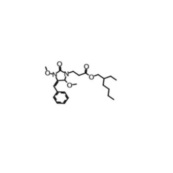 CCCCC(CC)COC(=O)CCN1C(=O)N(OC)C(=Cc2ccccc2)C1OC